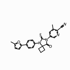 Cc1ccc(-c2ccc(N3C(=S)N(c4cnc(C#N)c(C)c4)C(=O)C34CCC4)cc2)o1